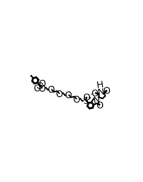 Cc1ccc(S(=O)(=O)OCCOCCOCCOCCOCC[S+]([O-])c2cccc3c2CN(C2CCC(=O)NC2=O)C3=O)cc1